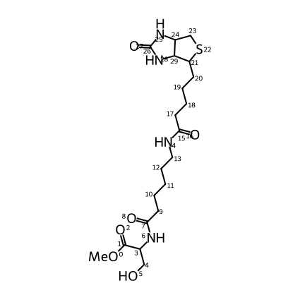 COC(=O)C(CO)NC(=O)CCCCCNC(=O)CCCCC1SCC2NC(=O)NC21